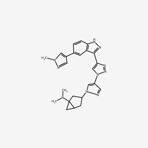 CN(C)C12CC(n3cc(-n4cc(-c5n[nH]c6ccc(-c7cnn(C)c7)cc56)nn4)cn3)CC1C2